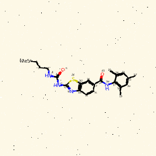 CSCCCNC(=O)Nc1nc2ccc(C(=O)Nc3c(C)cc(C)cc3C)cc2s1